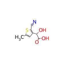 Cc1cc(C(O)C(=O)O)c(C#N)s1